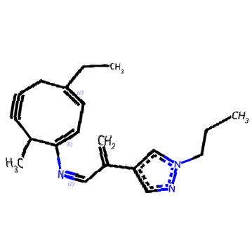 C=C(\C=N/C1=C/C=C(/CC)CC#CC1C)c1cnn(CCC)c1